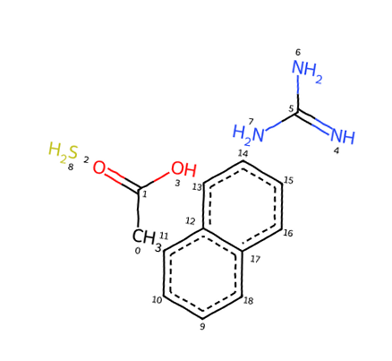 CC(=O)O.N=C(N)N.S.c1ccc2ccccc2c1